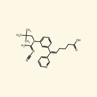 CC(C)(C)CN(C(N)=NC#N)c1cccc(/C(=C\CCCC(=O)O)c2cccnc2)c1